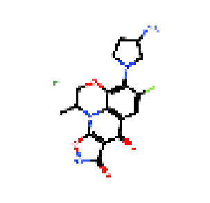 CC1COc2c(N3CCC(N)C3)c(F)cc3c(=O)c4c(=O)[nH]oc4n1c23.Cl